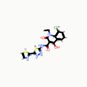 CCn1c(=O)c(C(=O)Nc2nnc(-c3nccs3)s2)c(O)c2cccc(Cl)c21